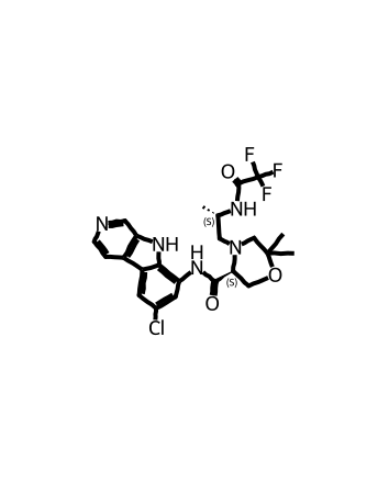 C[C@@H](CN1CC(C)(C)OC[C@H]1C(=O)Nc1cc(Cl)cc2c1[nH]c1cnccc12)NC(=O)C(F)(F)F